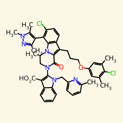 Cc1cccc(Cn2c(N3C[C@@H](C)n4c(c(CCCOc5cc(C)c(Cl)c(C)c5)c5ccc(Cl)c(-c6c(C)nn(C)c6C)c54)C3=O)c(C(=O)O)c3ccccc32)n1